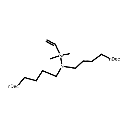 C=C[Si](C)(C)N(CCCCCCCCCCCCCC)CCCCCCCCCCCCCC